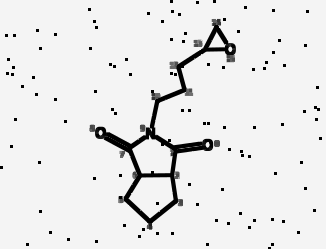 O=C1C2CCCC2C(=O)N1CCCC1CO1